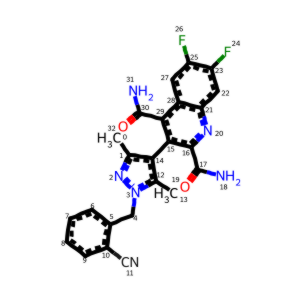 Cc1nn(Cc2ccccc2C#N)c(C)c1-c1c(C(N)=O)nc2cc(F)c(F)cc2c1C(N)=O